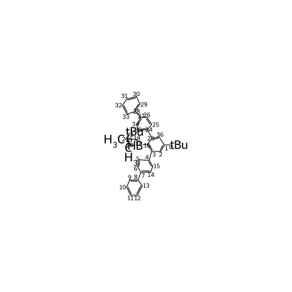 CC(C)(C)c1cc(-c2ccc(-c3ccccc3)cc2)c(BCC(C)(C)C(C)(C)C)c(-c2ccc(-c3ccccc3)cc2)c1